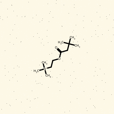 CC(C)(C)CC(=O)OCC[N+](C)(C)C